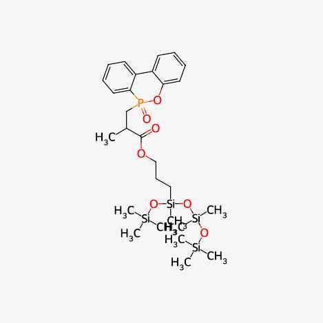 CC(CP1(=O)Oc2ccccc2-c2ccccc21)C(=O)OCCC[Si](C)(O[Si](C)(C)C)O[Si](C)(C)O[Si](C)(C)C